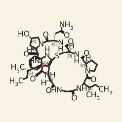 CC[C@H](C)C1NC(=O)CNC(=O)[C@@H]2Cc3c([nH]c4ccccc34)SC[C@H](NC(=O)[C@H]3CCCN3C1=O)C(=O)N[C@@H](CC(N)=O)C(=O)N1C[C@H](O)C[C@H]1C(=O)N[C@@H]([C@@H](C)CC)C(=O)N2